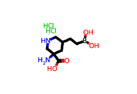 Cl.Cl.NC1(C(=O)O)CNCC(CCB(O)O)C1